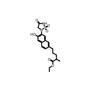 CCOC(=O)C(C)CCCc1ccc2cc(O)c(N3CC(=O)NS3(=O)=O)cc2c1